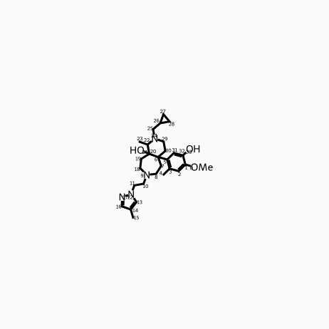 COc1cc(C)c(C23CCN(CCn4cc(C)cn4)CCC2(O)C(C)N(CC2CC2)CC3)cc1O